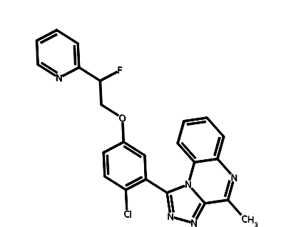 Cc1nc2ccccc2n2c(-c3cc(OCC(F)c4ccccn4)ccc3Cl)nnc12